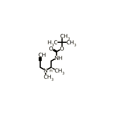 C#CCN(C)[C@H](C)CNC(=O)OC(C)(C)C